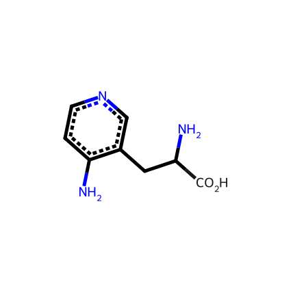 Nc1ccncc1CC(N)C(=O)O